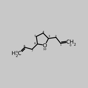 C=CCC1CCC(CC=C)O1